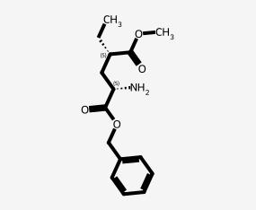 CC[C@@H](C[C@H](N)C(=O)OCc1ccccc1)C(=O)OC